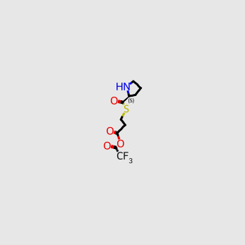 O=C(CCSC(=O)[C@@H]1CCCN1)OC(=O)C(F)(F)F